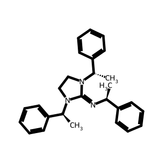 C[C@H](N=C1N([C@@H](C)c2ccccc2)CCN1[C@@H](C)c1ccccc1)c1ccccc1